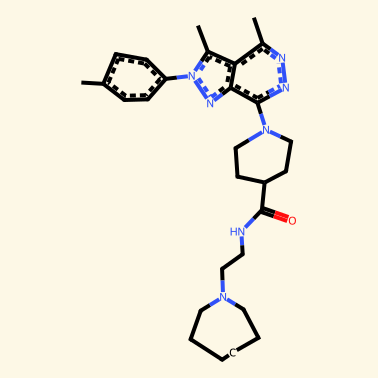 Cc1ccc(-n2nc3c(N4CCC(C(=O)NCCN5CCCCCC5)CC4)nnc(C)c3c2C)cc1